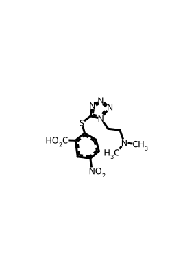 CN(C)CCn1nnnc1Sc1ccc([N+](=O)[O-])cc1C(=O)O